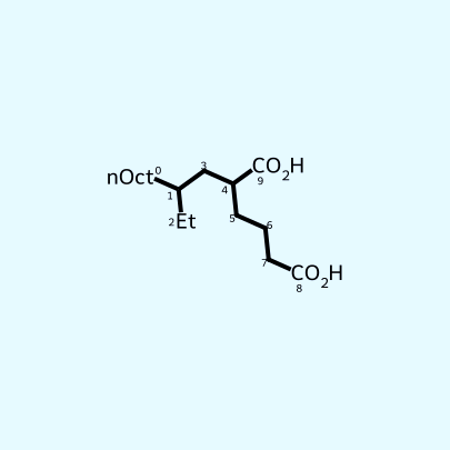 CCCCCCCCC(CC)CC(CCCC(=O)O)C(=O)O